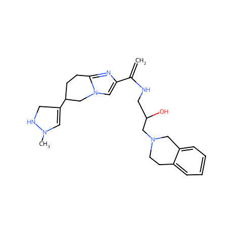 C=C(NCC(O)CN1CCc2ccccc2C1)c1cn2c(n1)CCC(C1=CN(C)NC1)C2